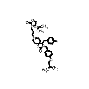 CC(C)COc1ccc(CN2C(=O)OC3(CCN(CCCN4C(=O)OC[C@@H]4C(C)C)CC3)C2Cc2ccc(F)cc2)cc1